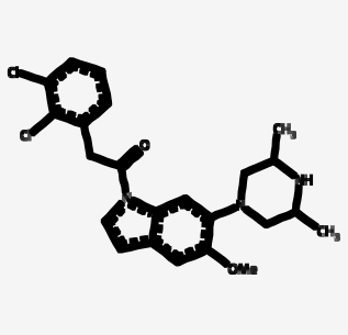 COc1cc2ccn(C(=O)Cc3cccc(Cl)c3Cl)c2cc1N1CC(C)NC(C)C1